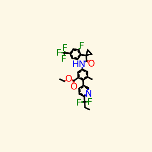 CCOC(=O)c1cc(NC(=O)C2(c3ccc(C(F)(F)F)cc3F)CC2)cc(C)c1-c1ccc(C(F)(F)CC)nc1